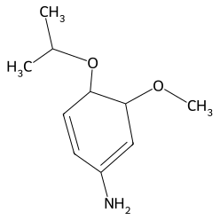 COC1C=C(N)C=CC1OC(C)C